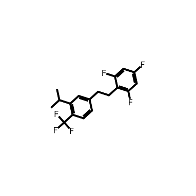 CC(C)c1cc(CCc2c(F)cc(F)cc2F)ccc1C(F)(F)F